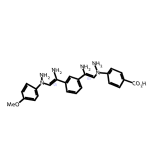 COc1ccc(N(N)/C=C(\N)c2cccc(/C(N)=C/N(N)c3ccc(C(=O)O)cc3)c2)cc1